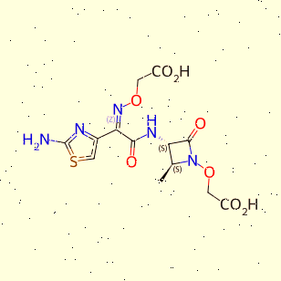 C[C@H]1[C@H](NC(=O)/C(=N\OCC(=O)O)c2csc(N)n2)C(=O)N1OCC(=O)O